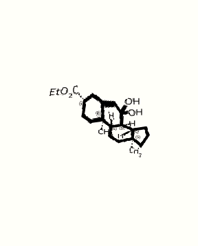 CCOC(=O)[C@H]1CC[C@@]2(C)C(=CC(O)(O)[C@H]3[C@@H]4CCC[C@@]4(C)CC[C@@H]32)C1